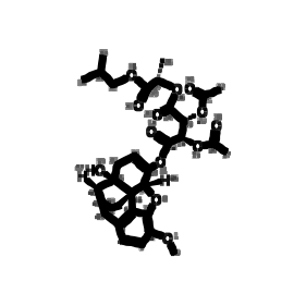 COc1ccc2c3c1O[C@H]1C(OC(=O)[C@H](OC(C)=O)[C@@H](OC(C)=O)C(=O)O[C@@H](C)C(=O)OCC(C)C)=CC[C@@]4(O)[C@H](CCC[C@]314)C2